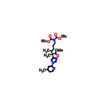 COC(=O)C(C)(c1cn(-c2cc(C)ccn2)cn1)C(C)CCCN(C(=O)OC(C)(C)C)C(=O)OC(C)(C)C